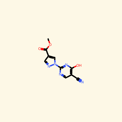 COC(=O)c1cnn(-c2ncc(C#N)c(O)n2)c1